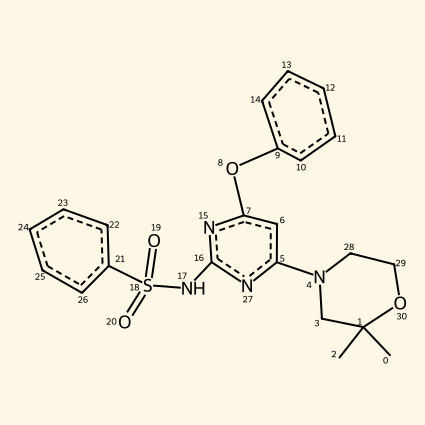 CC1(C)CN(c2cc(Oc3ccccc3)nc(NS(=O)(=O)c3ccccc3)n2)CCO1